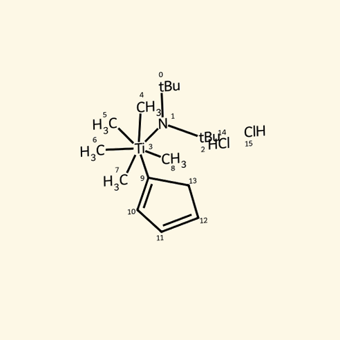 CC(C)(C)[N](C(C)(C)C)[Ti]([CH3])([CH3])([CH3])([CH3])([CH3])[C]1=CC=CC1.Cl.Cl